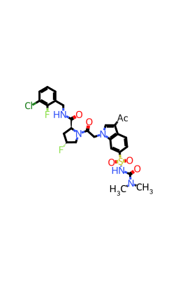 CC(=O)c1cn(CC(=O)N2C[C@H](F)C[C@H]2C(=O)NCc2cccc(Cl)c2F)c2cc(S(=O)(=O)NC(=O)N(C)C)ccc12